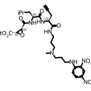 C#CC[C@H](NC(=O)[C@H](CC(C)C)NC(=O)[C@H]1O[C@@H]1C(=O)OCC)C(=O)NCCCN(C)CCCNc1ccc([N+](=O)[O-])cc1[N+](=O)[O-]